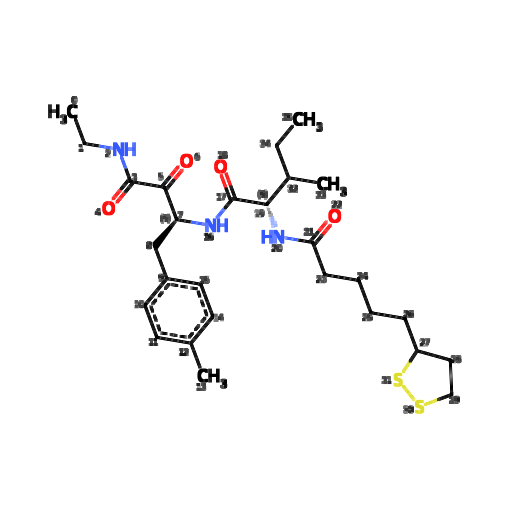 CCNC(=O)C(=O)[C@H](Cc1ccc(C)cc1)NC(=O)[C@@H](NC(=O)CCCCC1CCSS1)C(C)CC